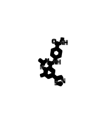 CNC(=O)C1CCC(Nc2nc(C)nc3c(C)cc(-c4cncs4)cc23)CC1